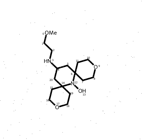 COCCNC1CC2(CCOCC2)N(O)C2(CCOCC2)C1